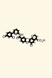 O=C(Nc1cccc(-c2ccc(Cl)cc2Cl)n1)c1ccc(Oc2cc3c(cc2Cl)C(C(=O)O)CCO3)cc1